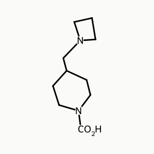 O=C(O)N1CCC(CN2CCC2)CC1